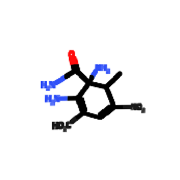 CC1C([N+](=O)[O-])=CC(C(=O)O)=C(N)C1(N)C(N)=O